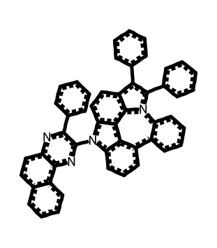 c1ccc(-c2nc3ccc4ccccc4c3nc2-n2c3cccc4c5ccccc5n5c(-c6ccccc6)c(-c6ccccc6)c6ccc2c(c43)c65)cc1